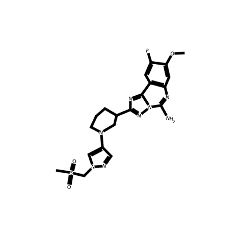 COc1cc2nc(N)n3nc(C4CCCN(c5cnn(CS(C)(=O)=O)c5)C4)nc3c2cc1F